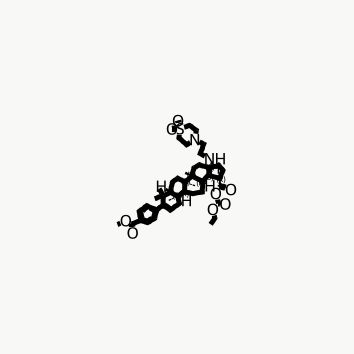 CCOC(=O)OC(=O)[C@@H]1CC[C@]2(NCCN3CCS(=O)(=O)CC3)CC[C@]3(C)[C@H](CC[C@@H]4[C@@]5(C)CC=C(c6ccc(C(=O)OC)cc6)C(C)(C)[C@@H]5CC[C@]43C)[C@@H]12